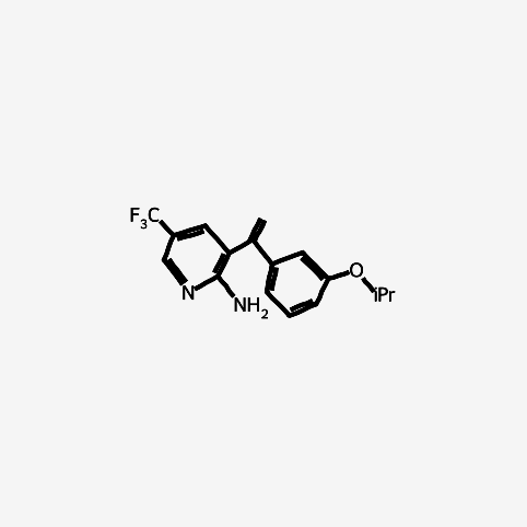 C=C(c1cccc(OC(C)C)c1)c1cc(C(F)(F)F)cnc1N